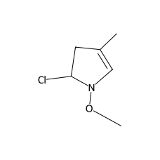 CON1C=C(C)CC1Cl